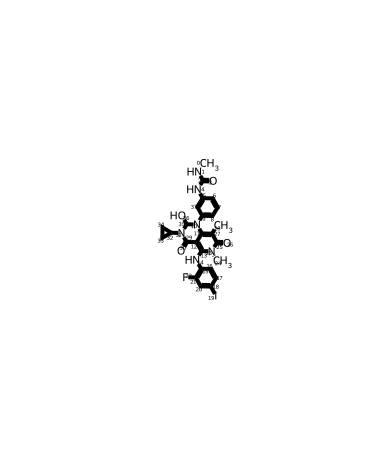 CNC(=O)Nc1cccc(N2c3c(c(Nc4ccc(I)cc4F)n(C)c(=O)c3C)C(=O)N(C3CC3)C2O)c1